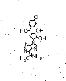 CN(N)c1ncnc2c1ncn2[C@@H]1C[C@H](C(O)c2ccc(Cl)cc2)[C@@H](O)[C@H]1O